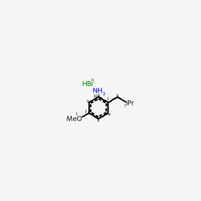 Br.COc1ccc(CC(C)C)cc1.N